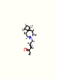 CC(=O)/C=C/CN1CCC2(CCC2)CC1